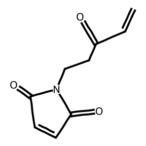 C=CC(=O)CCN1C(=O)C=CC1=O